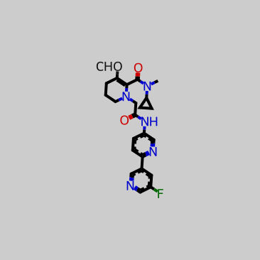 CN(C(=O)C1=C(C=O)CCCN1CC(=O)Nc1ccc(-c2cncc(F)c2)nc1)C1CC1